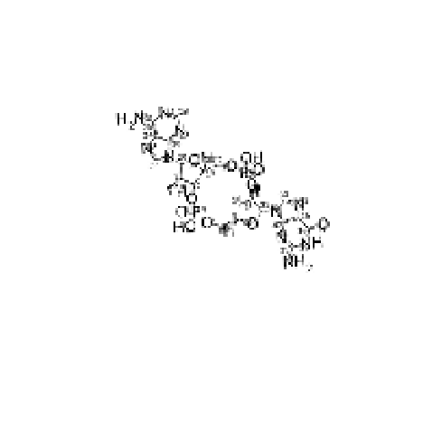 C[C@@H]1[C@@H]2OP(=O)(O)OC[C@@H]3C[C@@H](OP(=O)(O)OC[C@H]2O[C@H]1n1cnc2c(N)ncnc21)[C@H](n1cnc2c(=O)[nH]c(N)nc21)O3